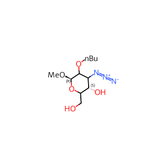 CCCCOC1C(N=[N+]=[N-])[C@H](O)C(CO)O[C@H]1OC